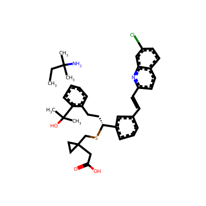 CC(C)(O)c1ccccc1CC[C@@H](SCC1(CC(=O)O)CC1)c1cccc(/C=C/c2ccc3ccc(Cl)cc3n2)c1.CCC(C)(C)N